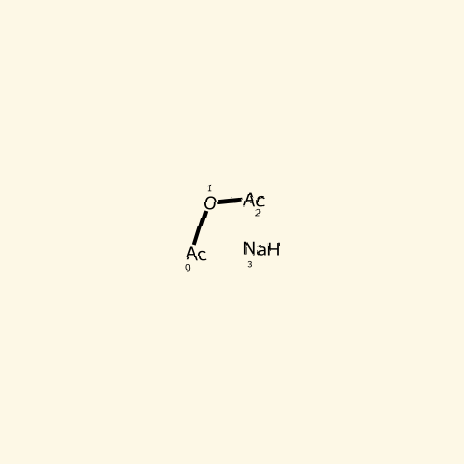 CC(=O)OC(C)=O.[NaH]